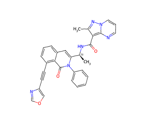 Cc1nn2cccnc2c1C(=O)N[C@@H](C)c1cc2cccc(C#Cc3cocn3)c2c(=O)n1-c1ccccc1